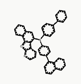 c1ccc(-c2ccc(N(c3ccc(-c4cccc5ccccc45)cc3)c3cc4ccccc4c4oc5ncccc5c34)cc2)cc1